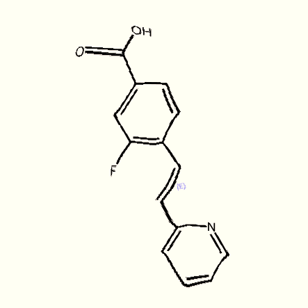 O=C(O)c1ccc(/C=C/c2ccccn2)c(F)c1